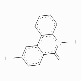 Cc1ccc2c(=O)n(C)c3ccccc3c2c1